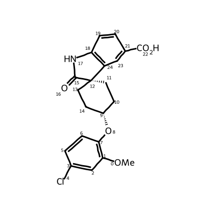 COc1cc(Cl)ccc1O[C@H]1CC[C@]2(CC1)C(=O)Nc1ccc(C(=O)O)cc12